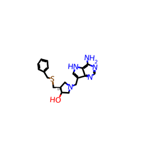 Nc1ncnc2c(CN3CC(O)[C@@H](CSCc4ccccc4)C3)c[nH]c12